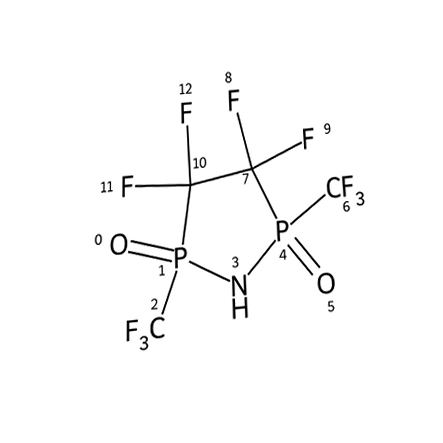 O=P1(C(F)(F)F)NP(=O)(C(F)(F)F)C(F)(F)C1(F)F